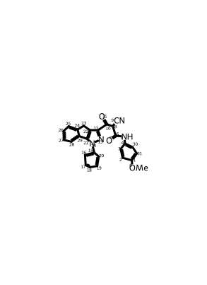 COc1ccc(NC(=O)C(C#N)C(=O)c2nn(-c3ccccc3)c3c2Cc2ccccc2-3)cc1